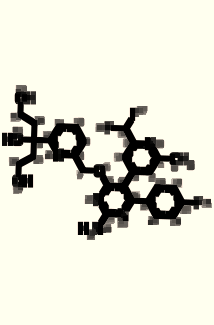 Cc1cc(-c2c(OCc3cccc(C(O)(CCO)CCO)n3)nc(N)nc2-c2ccc(F)cc2)cc(C(F)F)n1